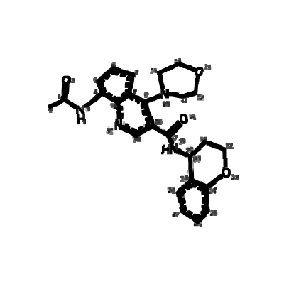 CC(=O)Nc1cccc2c(N3CCOCC3)c(C(=O)N[C@H]3CCOc4ccccc43)cnc12